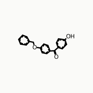 O=C(c1ccc(O)cc1)c1ccc(OCc2ccccc2)cc1